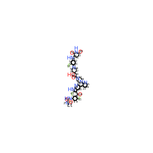 CCN(C)S(=O)(=O)Nc1ccc(F)c(C(=O)c2c[nH]c3ncc(-c4cccnc4N4CCN(C(=O)CC5(O)CCN(c6ccc(N[C@@H]7CCC(=O)NC7=O)cc6F)CC5)CC4)cc23)c1F